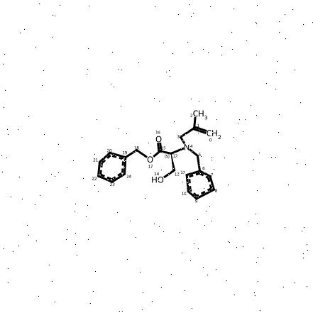 C=C(C)CN(Cc1ccccc1)[C@@H](CO)C(=O)OCc1ccccc1